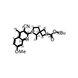 COc1ccc2c(I)c(C#N)c(N3CCC4(CN(C(=O)OC(C)(C)C)C4)C3C)nc2c1